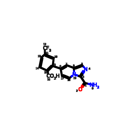 NC(=O)c1ncc2cc(-c3cc(C(F)(F)F)ccc3C(=O)O)ccn12